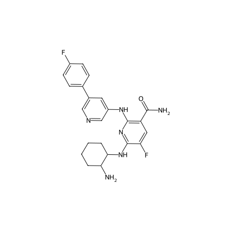 NC(=O)c1cc(F)c(NC2CCCCC2N)nc1Nc1cncc(-c2ccc(F)cc2)c1